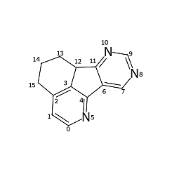 c1cc2c3c(n1)-c1cncnc1C3CCC2